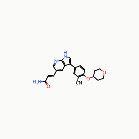 N#Cc1cc(-c2c[nH]c3ncc(C=CC(N)=O)cc23)ccc1OC1CCOCC1